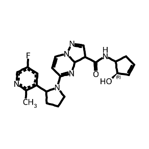 Cc1ncc(F)cc1C1CCCN1C1=NC2C(C(=O)NC3CC=C[C@H]3O)C=NN2C=C1